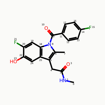 CNC(=O)Cc1c(C)n(C(=O)c2ccc(F)cc2)c2cc(F)c(O)cc12